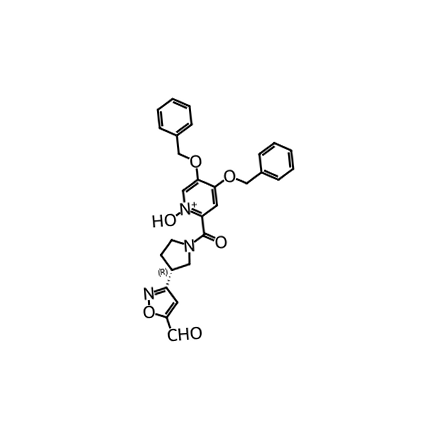 O=Cc1cc([C@@H]2CCN(C(=O)c3cc(OCc4ccccc4)c(OCc4ccccc4)c[n+]3O)C2)no1